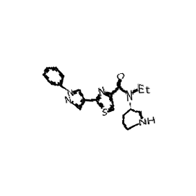 CCN(C(=O)c1csc(-c2cnn(-c3ccccc3)c2)n1)[C@H]1CCCNC1